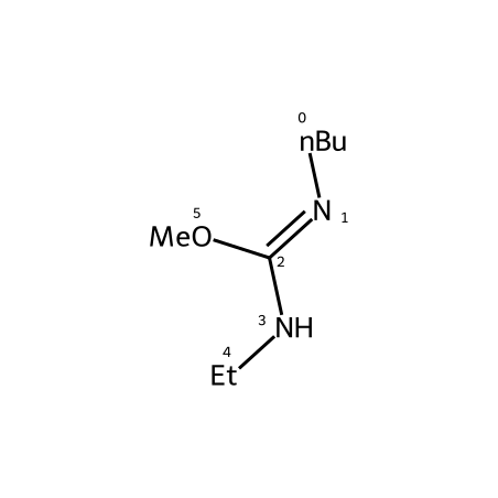 CCCC/N=C(/NCC)OC